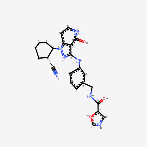 N#C[C@@H]1CCCC[C@H]1n1nc(Nc2cccc(CNC(=O)c3cnco3)c2)c2c(=O)[nH]ccc21